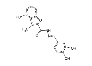 Cc1c(C(=O)N/N=C/c2ccc(O)c(O)c2)oc2cccc(O)c12